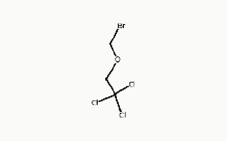 ClC(Cl)(Cl)COCBr